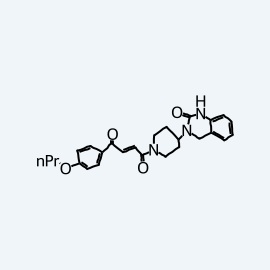 CCCOc1ccc(C(=O)/C=C/C(=O)N2CCC(N3Cc4ccccc4NC3=O)CC2)cc1